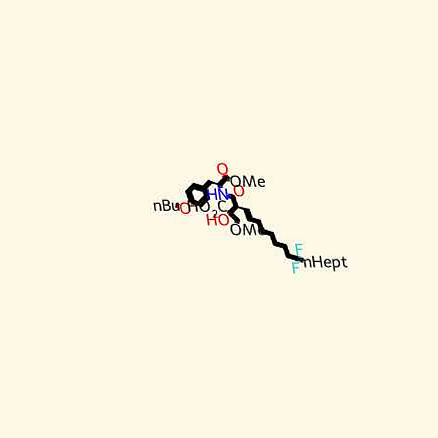 CCCCCCCC(F)(F)CCCCCCC=C[C@H](C(=O)N[C@@H](Cc1ccc(OCCCC)cc1)C(=O)OC)[C@@](O)(COC)C(=O)O